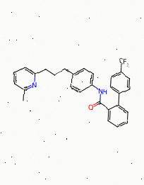 Cc1cccc(CCCc2ccc(NC(=O)c3ccccc3-c3ccc(C(F)(F)F)cc3)cc2)n1